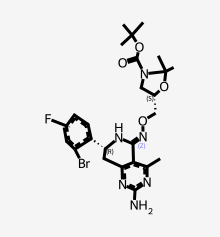 Cc1nc(N)nc2c1/C(=N/OC[C@@H]1CN(C(=O)OC(C)(C)C)C(C)(C)O1)N[C@@H](c1ccc(F)cc1Br)C2